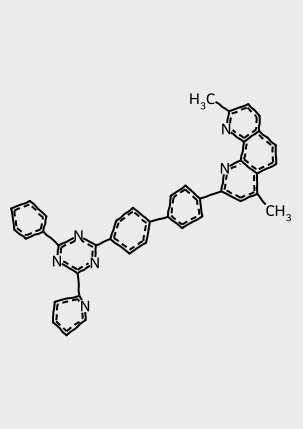 Cc1ccc2ccc3c(C)cc(-c4ccc(-c5ccc(-c6nc(-c7ccccc7)nc(-c7ccccn7)n6)cc5)cc4)nc3c2n1